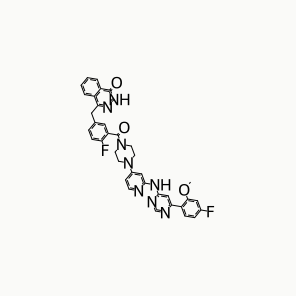 COc1cc(F)ccc1-c1cc(Nc2cc(N3CCN(C(=O)c4cc(Cc5n[nH]c(=O)c6ccccc56)ccc4F)CC3)ccn2)ncn1